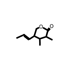 C/C=C/C1COC(=O)C(C)C1C